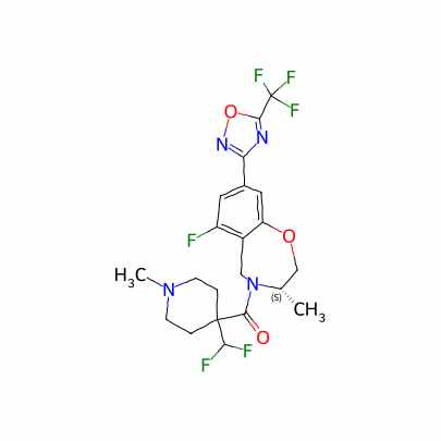 C[C@H]1COc2cc(-c3noc(C(F)(F)F)n3)cc(F)c2CN1C(=O)C1(C(F)F)CCN(C)CC1